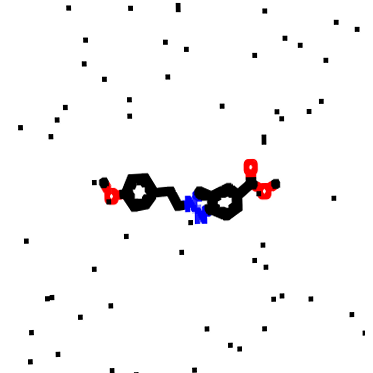 COC(=O)c1ccc2nn(CCc3ccc(OC)cc3)cc2c1